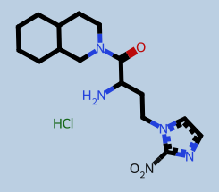 Cl.NC(CCn1ccnc1[N+](=O)[O-])C(=O)N1CCC2CCCCC2C1